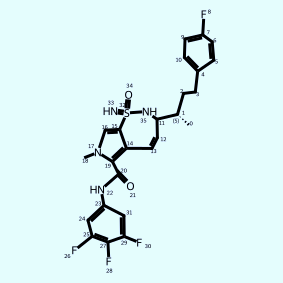 C[C@@H](CCc1ccc(F)cc1)C1C=Cc2c(cn(C)c2C(=O)Nc2cc(F)c(F)c(F)c2)S(=N)(=O)N1